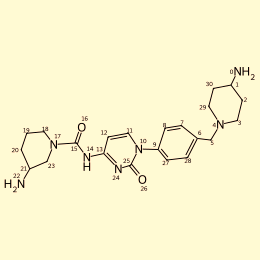 NC1CCN(Cc2ccc(-n3ccc(NC(=O)N4CCCC(N)C4)nc3=O)cc2)CC1